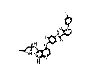 CC(O)CC(C)(C)Nc1n[nH]c2nccc(Oc3ccc(NC(=O)c4ccnn(-c5ccc(F)cc5)c4=O)cc3F)c12